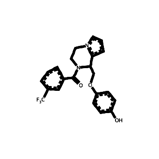 O=C(c1cccc(C(F)(F)F)c1)N1CCn2cccc2C1COc1ccc(O)cc1